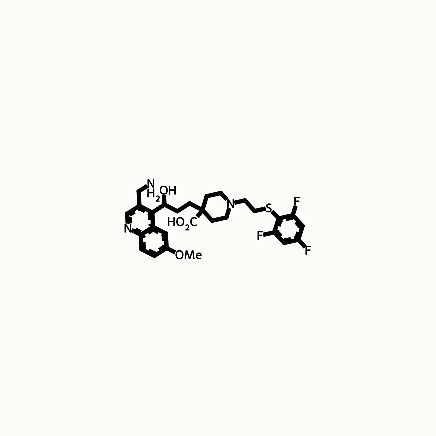 COc1ccc2ncc(CN)c(C(O)CCC3(C(=O)O)CCN(CCSc4c(F)cc(F)cc4F)CC3)c2c1